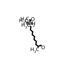 C=C.CC(=O)O.CCCCCCCCCC(C)C=O